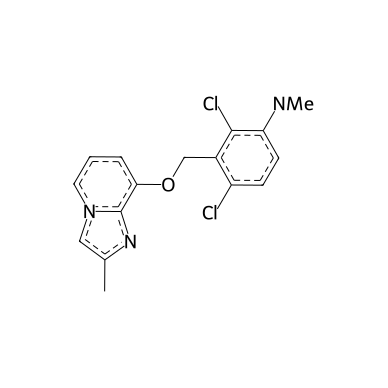 CNc1ccc(Cl)c(COc2cccn3cc(C)nc23)c1Cl